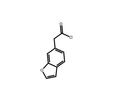 O=C(Cl)Cc1ccc2ccoc2c1